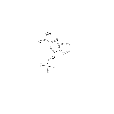 O=C(O)c1cc(OCC(F)(F)F)c2ccccc2n1